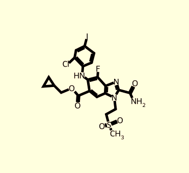 CS(=O)(=O)CCn1c(C(N)=O)nc2c(F)c(Nc3ccc(I)cc3Cl)c(C(=O)OCC3CC3)cc21